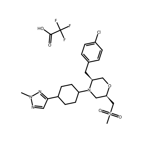 Cn1ncc(C2CCC(N3C[C@H](CS(C)(=O)=O)OC[C@@H]3Cc3ccc(Cl)cc3)CC2)n1.O=C(O)C(F)(F)F